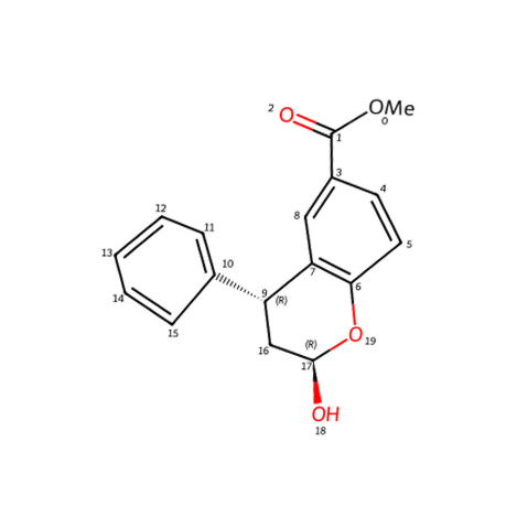 COC(=O)c1ccc2c(c1)[C@@H](c1ccccc1)C[C@H](O)O2